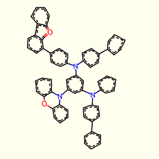 c1ccc(-c2ccc(N(c3ccccc3)c3cc(N(c4ccc(-c5ccccc5)cc4)c4ccc(-c5cccc6c5oc5ccccc56)cc4)cc(N4c5ccccc5Oc5ccccc54)c3)cc2)cc1